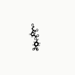 O=CCC1C(=O)N2C(C(=O)OCc3ccc([N+](=O)[O-])cc3)=CCC12